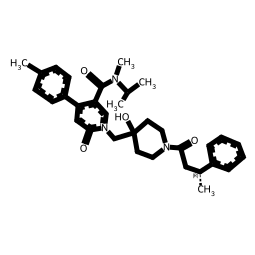 Cc1ccc(-c2cc(=O)n(CC3(O)CCN(C(=O)C[C@@H](C)c4ccccc4)CC3)cc2C(=O)N(C)C(C)C)cc1